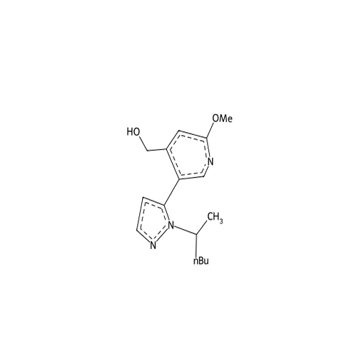 CCCCC(C)n1nccc1-c1cnc(OC)cc1CO